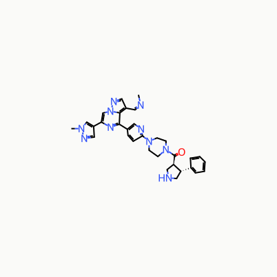 C/N=C\c1cnn2cc(-c3cnn(C)c3)nc(-c3ccc(N4CCN(C(=O)[C@@H]5CNC[C@H]5c5ccccc5)CC4)nc3)c12